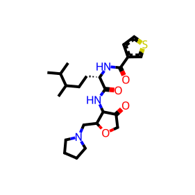 CC(C)C(C)CC[C@H](NC(=O)c1ccsc1)C(=O)NC1C(=O)COC1CN1CCCC1